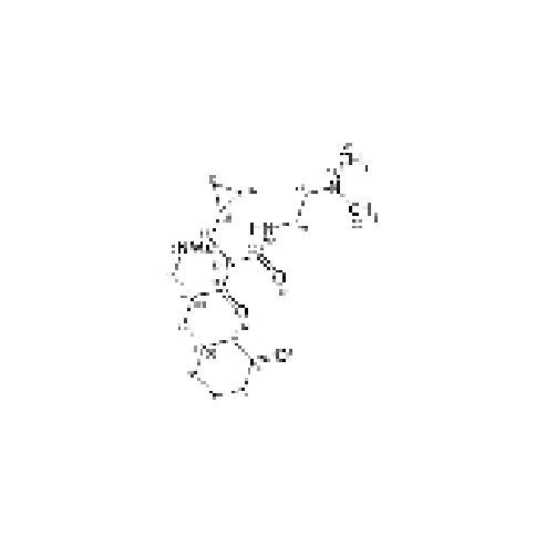 CNC[C@@H](C[C@H]1CCCC(=O)C1)C(=O)N(CC1CC1)C(=O)NCCN(C)C